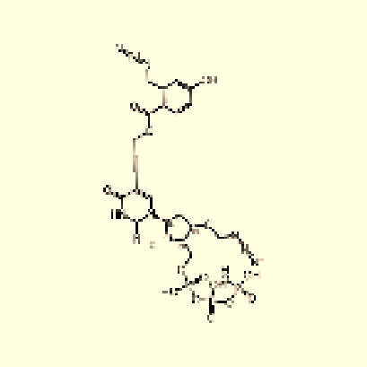 [N-]=[N+]=NCO[C@@H]1C[C@H](N2C=C(C#CCOC(=O)c3ccc(O)cc3CN=[N+]=[N-])C(=O)NC2N)O[C@@H]1COP(=O)(O)OP(=O)(O)OP(=O)(O)O